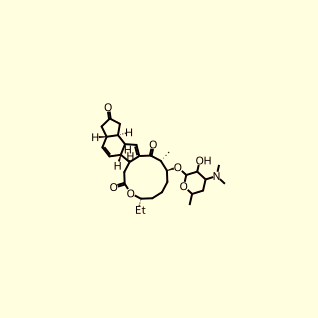 CC[C@H]1CCC[C@H](OC2OC(C)CC(N(C)C)C2O)[C@@H](C)C(=O)C2=C[C@@H]3[C@@H](C=C[C@@H]4CC(=O)C[C@@H]34)[C@@H]2CC(=O)O1